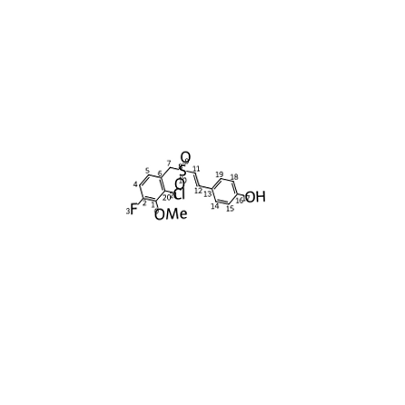 COc1c(F)ccc(CS(=O)(=O)C=Cc2ccc(O)cc2)c1Cl